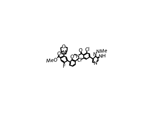 CN/N=C1\C(=N)C=NC=C1c1cc(Cl)c(C(=O)N2COc3c(cccc3-c3cc(N4C5CCC4COC5)c(C(=O)OC)cc3F)C2)c(Cl)c1